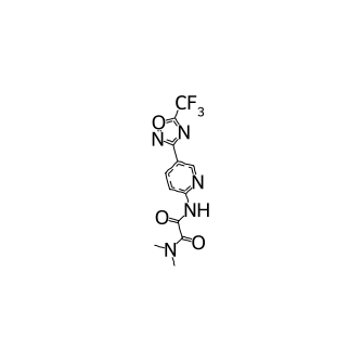 CN(C)C(=O)C(=O)Nc1ccc(-c2noc(C(F)(F)F)n2)cn1